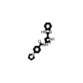 O=C(Nc1cc(-c2nc3ccccc3[nH]2)[nH]n1)c1ccc(N2CCCC2)cc1